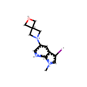 Cn1cc(I)c2cc(N3CC4(COC4)C3)cnc21